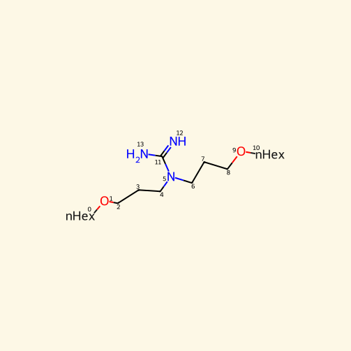 CCCCCCOCCCN(CCCOCCCCCC)C(=N)N